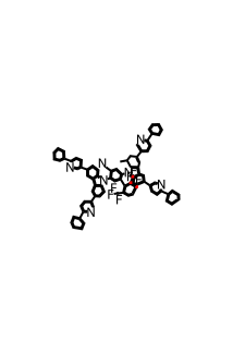 CC1CC(c2ccc(-c3ccccc3)nc2)=Cc2c1n(-c1cc(C#N)c(-n3c4ccc(-c5ccc(-c6ccccc6)nc5)cc4c4cc(-c5ccc(-c6ccccc6)nc5)ccc43)cc1-c1c(C(F)(F)F)cccc1C(F)(F)F)c1ccc(-c3ccc(-c4ccccc4)nc3)cc21